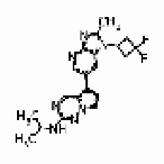 Cc1nc2ncc(-c3ccn4nc(NC(C)C)ncc34)cc2n1C1CC(F)(F)C1